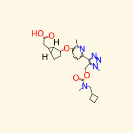 Cc1nc(-c2nnn(C)c2COC(=O)N(C)CC2CCC2)ccc1O[C@H]1CC[C@H]2C(CC(=O)O)[C@@H]12